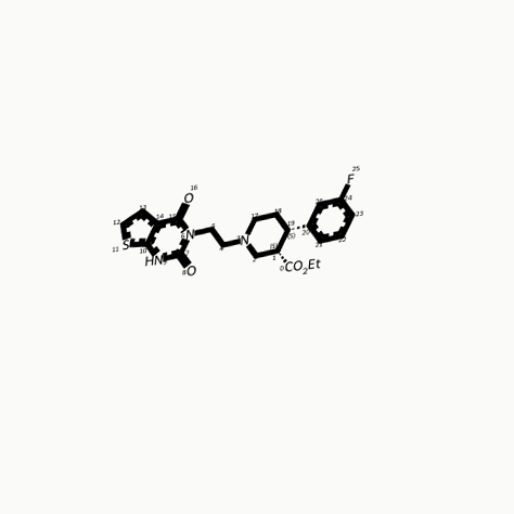 CCOC(=O)[C@@H]1CN(CCn2c(=O)[nH]c3sccc3c2=O)CC[C@@H]1c1cccc(F)c1